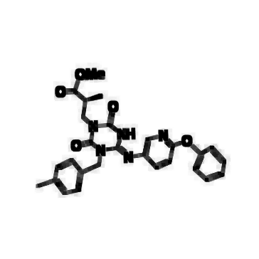 COC(=O)[C@@H](C)Cn1c(=O)[nH]/c(=N\c2ccc(Oc3ccccc3)nc2)n(Cc2ccc(C)cc2)c1=O